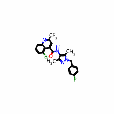 Cc1nn(Cc2ccc(F)cc2)c(C)c1NC(=O)c1cc(C(F)(F)F)nc2cccc(Br)c12